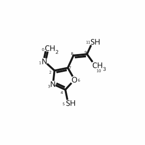 C=Nc1nc(S)oc1/C=C(\C)S